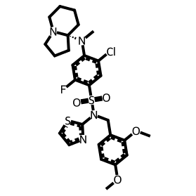 COc1ccc(CN(c2nccs2)S(=O)(=O)c2cc(Cl)c(N(C)[C@@]34CCCCN3CCC4)cc2F)c(OC)c1